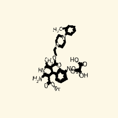 CC1=C(C(=O)OCCN2CCN(c3ccccc3C)CC2)C(c2cccc([N+](=O)[O-])c2)C(C(=O)OC(C)C)=C(N)N1.O=C(O)C(=O)O